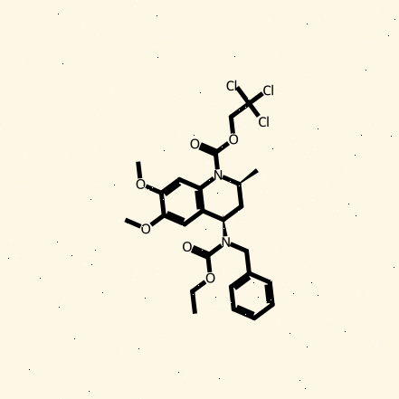 CCOC(=O)N(Cc1ccccc1)[C@@H]1C[C@H](C)N(C(=O)OCC(Cl)(Cl)Cl)c2cc(OC)c(OC)cc21